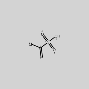 C=C(Cl)S(=O)(=O)O